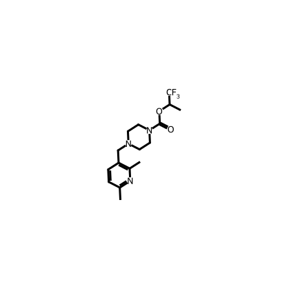 Cc1ccc(CN2CCN(C(=O)OC(C)C(F)(F)F)CC2)c(C)n1